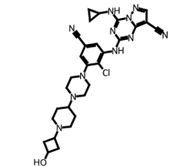 N#Cc1cc(Nc2nc(NC3CC3)n3ncc(C#N)c3n2)c(Cl)c(N2CCN(C3CCN(C4CC(O)C4)CC3)CC2)c1